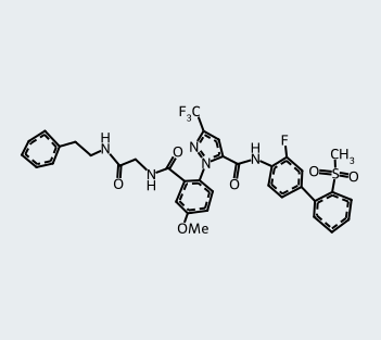 COc1ccc(-n2nc(C(F)(F)F)cc2C(=O)Nc2ccc(-c3ccccc3S(C)(=O)=O)cc2F)c(C(=O)NCC(=O)NCCc2ccccc2)c1